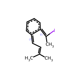 CC(C)=C/C=c1/cccc/c1=C(/C)I